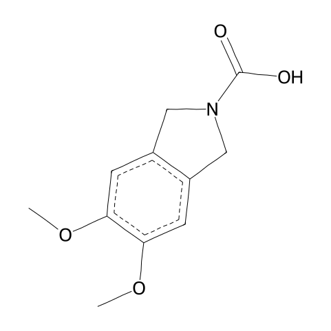 COc1cc2c(cc1OC)CN(C(=O)O)C2